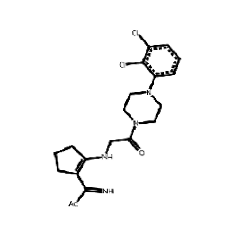 CC(=O)C(=N)C1=C(NCC(=O)N2CCN(c3cccc(Cl)c3Cl)CC2)CCC1